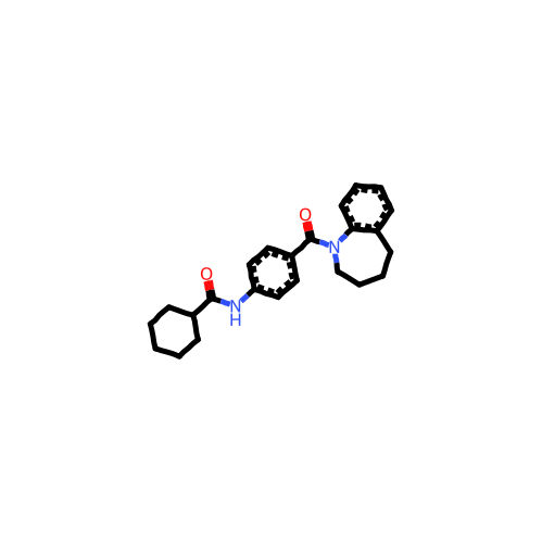 O=C(Nc1ccc(C(=O)N2CCCCc3ccccc32)cc1)C1CCCCC1